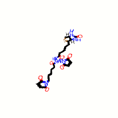 O=C(CCCCCN1C(=O)C=CC1=O)NNC(=O)CCCCC1SC[C@@H]2NC(=O)N[C@H]12.O=C1C=CC(=O)N1